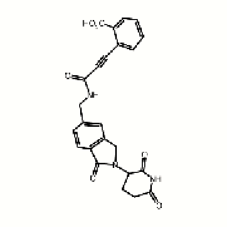 O=C(C#Cc1ccccc1C(=O)O)NCc1ccc2c(c1)CN(C1CCC(=O)NC1=O)C2=O